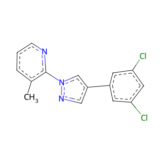 Cc1cccnc1-n1cc(-c2cc(Cl)cc(Cl)c2)cn1